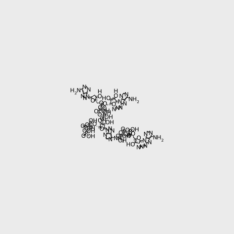 Nc1ncnc2c1nnn2[C@@H]1O[C@H](COP(=O)(O)OP(=O)(O)OP(=O)(O)O)[C@@H](O)[C@H]1O.[N-]=[N+]=Nc1nc2c(N)ncnc2n1[C@@H]1O[C@H](COP(=O)(OC[C@H]2O[C@@H](n3nnc4c(N)ncnc43)C[C@@H]2O)OP(=O)(O)OP(=O)(O)O)[C@@H](O)[C@H]1O.[N-]=[N+]=Nc1nc2c(N)ncnc2n1[C@H]1C[C@H](O)[C@@H](COP(=O)(O)OP(=O)(O)OP(=O)(O)O)O1